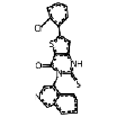 O=c1c2sc(-c3ccccc3Cl)cc2[nH]c(=S)n1-c1cncc2ccccc12